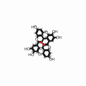 O=c1c(O)c(-c2cc(O)c(O)c(O)c2C2c3ccc(O)cc3OC(c3cc(O)c(O)c(O)c3)[C@H]2O)oc2cc(O)ccc12